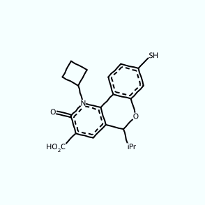 CC(C)C1Oc2cc(S)ccc2-c2c1cc(C(=O)O)c(=O)n2C1CCC1